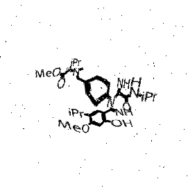 COC(=O)[C@H](C(C)C)N(C)Cc1ccc(N(C(=N)C(=O)NC(C)C)C(=N)c2cc(C(C)C)c(OC)cc2O)cc1